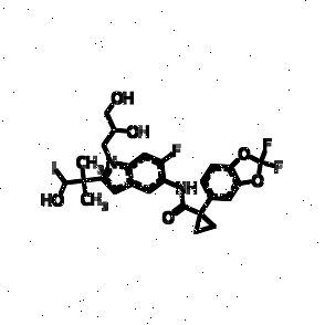 CC(C)(c1cc2cc(NC(=O)C3(c4ccc5c(c4)OC(F)(F)O5)CC3)c(F)cc2n1CC(O)CO)C(O)I